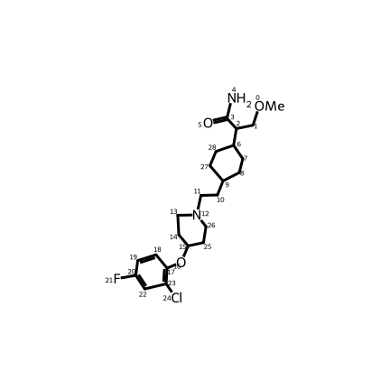 COCC(C(N)=O)C1CCC(CCN2CCC(Oc3ccc(F)cc3Cl)CC2)CC1